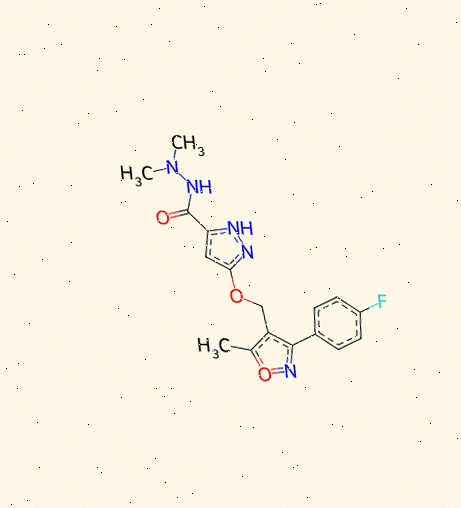 Cc1onc(-c2ccc(F)cc2)c1COc1cc(C(=O)NN(C)C)[nH]n1